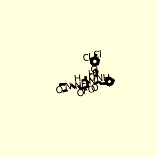 CC(C)C(NC(=O)C(Cc1ccccc1)NC(=O)COc1ccc(Cl)c(Cl)c1)C(=O)C(F)(F)C(=O)NCCN1CCOCC1